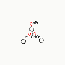 CCCOc1ccc(C(C=O)(OCCc2ccccc2)OCCc2ccccc2)cc1